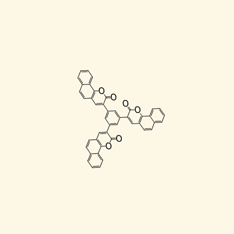 O=c1oc2c(ccc3ccccc32)cc1-c1cc(-c2cc3ccc4ccccc4c3oc2=O)cc(-c2cc3ccc4ccccc4c3oc2=O)c1